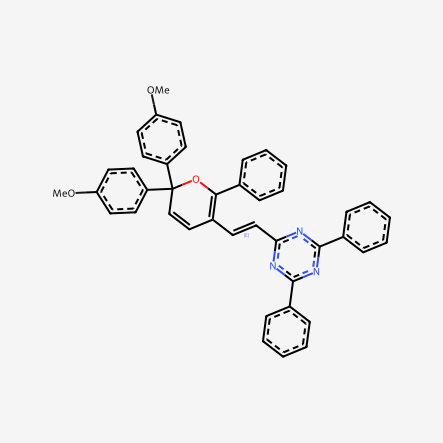 COc1ccc(C2(c3ccc(OC)cc3)C=CC(/C=C/c3nc(-c4ccccc4)nc(-c4ccccc4)n3)=C(c3ccccc3)O2)cc1